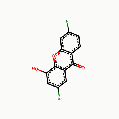 O=c1c2ccc(F)cc2oc2c(O)cc(Br)cc12